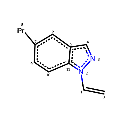 C=Cn1ncc2cc(C(C)C)ccc21